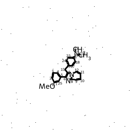 COc1cccc(-c2nc3ccccn3c2Cc2ccc(N(C)C)cc2)c1